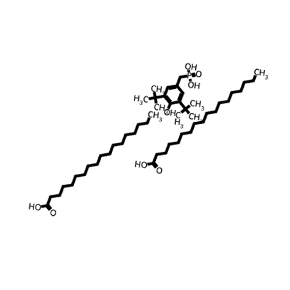 CC(C)(C)c1cc(CP(=O)(O)O)cc(C(C)(C)C)c1O.CCCCCCCCCCCCCCCCCC(=O)O.CCCCCCCCCCCCCCCCCC(=O)O